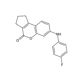 O=c1oc2cc(Nc3ccc(F)cc3)ccc2c2c1CCC2